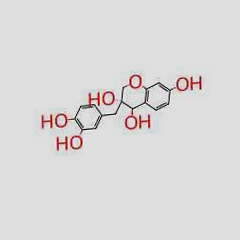 Oc1ccc2c(c1)OC[C@](O)(Cc1ccc(O)c(O)c1)[C@@H]2O